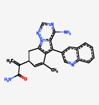 C=C(C(N)=O)C1C=C(C)c2c(-c3cnc4ccccc4c3)c3c(N)ncnn3c2C1